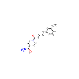 NC(=O)C1CCN(C(=O)CCC[CH]c2cccc(C(F)(F)F)c2)CC1